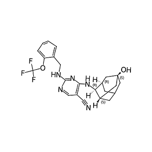 N#Cc1cnc(NCc2ccccc2OC(F)(F)F)nc1N[C@H]1[C@@H]2CC3C[C@H]1C[C@@](O)(C3)C2